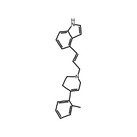 Cc1ccccc1C1=CCN(CC=Cc2cccc3[nH]ccc23)CC1